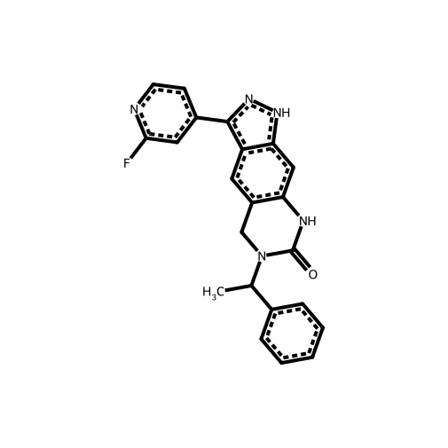 CC(c1ccccc1)N1Cc2cc3c(-c4ccnc(F)c4)n[nH]c3cc2NC1=O